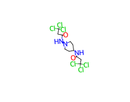 O=C(CC(Cl)(Cl)Cl)NC1CCN(NC(=O)CC(Cl)(Cl)Cl)CC1